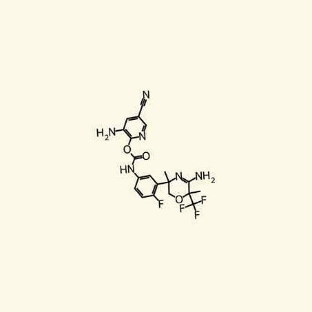 CC1(c2cc(NC(=O)Oc3ncc(C#N)cc3N)ccc2F)COC(C)(C(F)(F)F)C(N)=N1